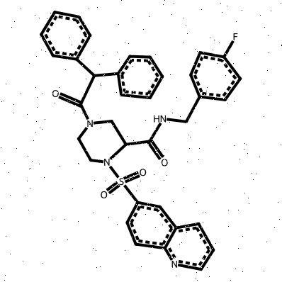 O=C(NCc1ccc(F)cc1)C1CN(C(=O)C(c2ccccc2)c2ccccc2)CCN1S(=O)(=O)c1ccc2ncccc2c1